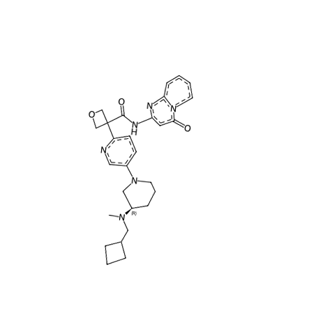 CN(CC1CCC1)[C@@H]1CCCN(c2ccc(C3(C(=O)Nc4cc(=O)n5ccccc5n4)COC3)nc2)C1